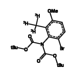 [2H]C([2H])([2H])c1c(OC)ccc(Br)c1N(C(=O)OC(C)(C)C)C(=O)OC(C)(C)C